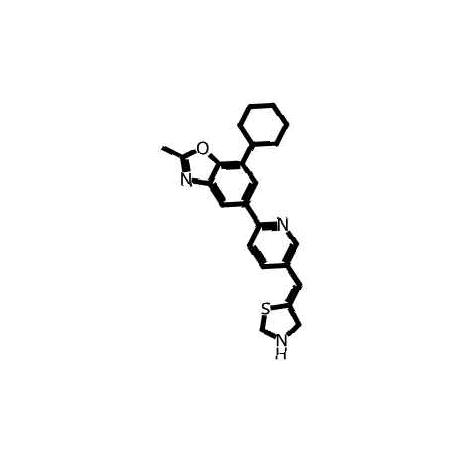 Cc1nc2cc(-c3ccc(C=C4CNCS4)cn3)cc(C3CCCCC3)c2o1